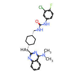 CN(C)c1nc([AsH][C@H]2CC[C@@H](CNC(=O)Nc3ccc(F)c(Cl)c3)CC2)nc2ccccc12